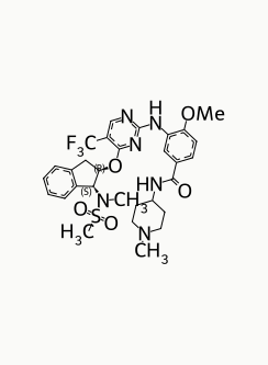 COc1ccc(C(=O)NC2CCN(C)CC2)cc1Nc1ncc(C(F)(F)F)c(O[C@@H]2Cc3ccccc3[C@@H]2N(C)S(C)(=O)=O)n1